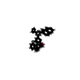 c1ccc(-c2nc(-c3ccc4c(c3)Oc3ccccc3C43c4ccccc4-c4ccccc43)nc(-c3ccc4ccccc4c3)n2)cc1